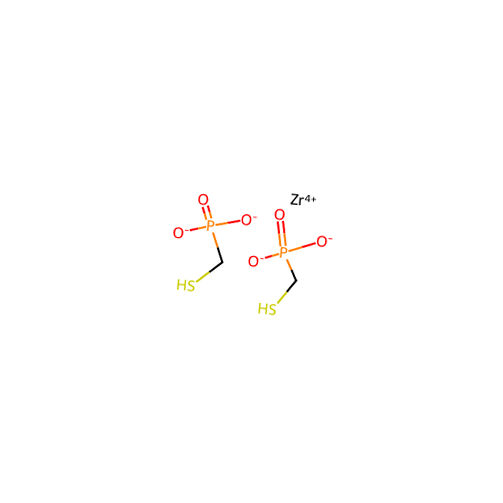 O=P([O-])([O-])CS.O=P([O-])([O-])CS.[Zr+4]